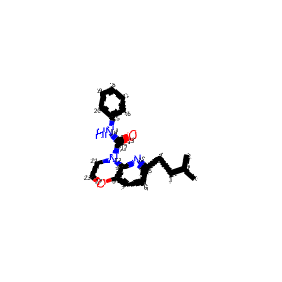 CC(C)CCc1ccc2c(n1)N(C(=O)Nc1ccccc1)CCO2